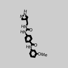 COc1cccc(NC(=O)c2ccc(NC(=O)NCc3cn[nH]c3)cc2)c1